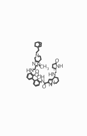 Cn1c(C(=O)Nc2cccc(-c3cccc(NC(=O)c4cc5n(n4)CCCC5NC[C@@H]4CCC(=O)N4)c3Cl)c2Cl)nc2c1CCN(CCC13CCC(CC1)C3)C2